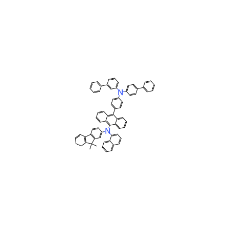 CC1(C)C2=C(C=CCC2)c2ccc(N(c3cccc4ccccc34)c3c4ccccc4c(-c4ccc(N(c5ccc(-c6ccccc6)cc5)c5cccc(-c6ccccc6)c5)cc4)c4ccccc34)cc21